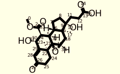 COC(=O)[C@H]1[C@H]2[C@@H]3CC[C@@](O)(CCC(=O)O)[C@@]3(C)C[C@H]3OC23[C@@]2(C)CCC(=O)C=C2[C@@H]1O